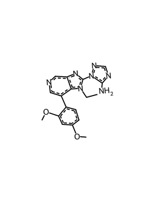 CCn1c(-n2ncnc2N)nc2cncc(-c3ccc(OC)cc3OC)c21